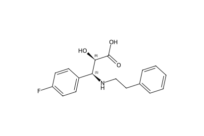 O=C(O)[C@H](O)[C@@H](NCCc1ccccc1)c1ccc(F)cc1